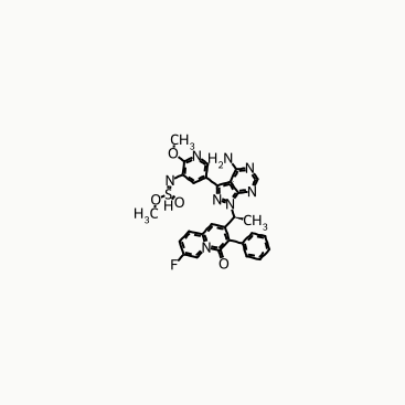 COc1ncc(-c2nn([C@@H](C)c3cc4ccc(F)cn4c(=O)c3-c3ccccc3)c3ncnc(N)c23)cc1N=[SH](=O)OC